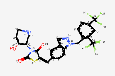 O=C1SC(=Cc2ccc3c(cnn3Cc3ccc(C(F)(F)F)cc3C(F)(F)F)c2)C(=O)N1[C@@H]1CNCC[C@H]1O